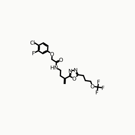 C=C(CCNC(=O)COc1ccc(Cl)c(F)c1)c1nnc(CCCOC(F)(F)F)o1